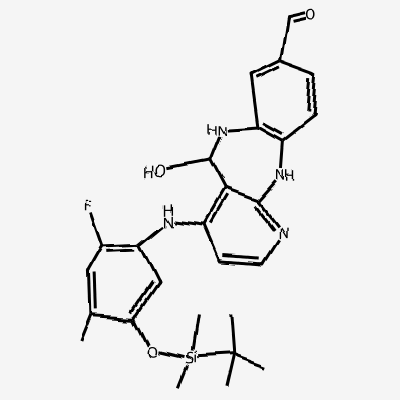 Cc1cc(F)c(Nc2ccnc3c2C(O)Nc2cc(C=O)ccc2N3)cc1O[Si](C)(C)C(C)(C)C